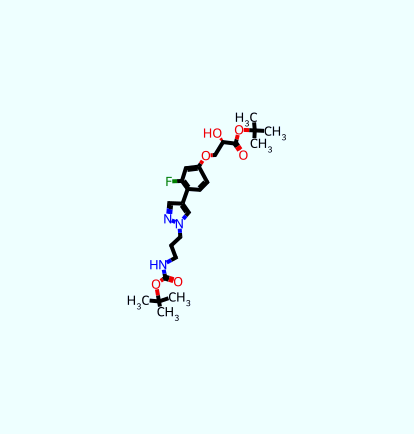 CC(C)(C)OC(=O)NCCCn1cc(-c2ccc(OC[C@@H](O)C(=O)OC(C)(C)C)cc2F)cn1